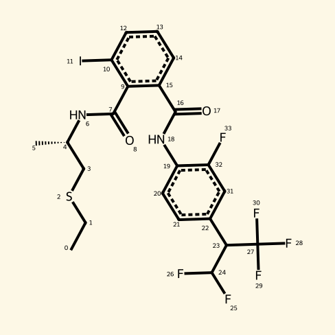 CCSC[C@H](C)NC(=O)c1c(I)cccc1C(=O)Nc1ccc(C(C(F)F)C(F)(F)F)cc1F